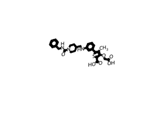 Cc1c(-c2cccc(NCC3CCN(C(=O)NCc4ccccc4)CC3)c2)sc(C(=O)O)c1OCC(=O)O